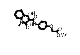 COC(=O)COc1ccc(NC(=O)c2c(O)c3ccccc3n(C)c2=O)cc1